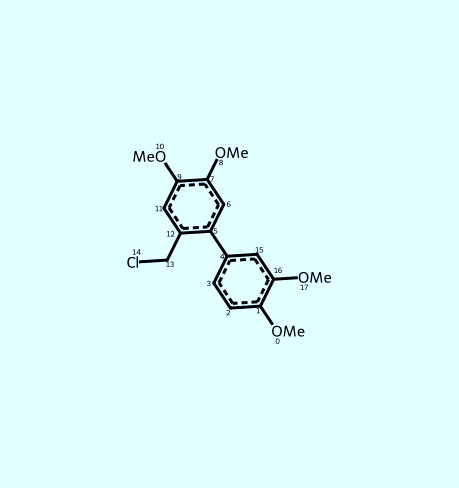 COc1ccc(-c2cc(OC)c(OC)cc2CCl)cc1OC